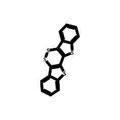 c1ccc2c3c(sc2c1)-c1sc2ccccc2c1SS3